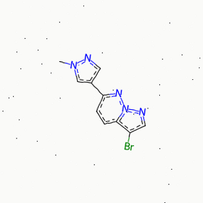 Cn1cc(-c2ccc3c(Br)cnn3n2)cn1